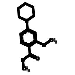 COC(=O)c1ccc(N2CCCCC2)cc1OC